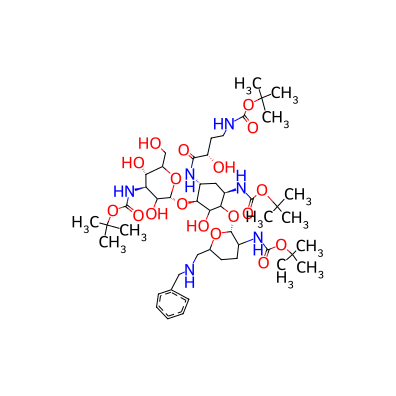 CC(C)(C)OC(=O)NCC[C@H](O)C(=O)N[C@@H]1C[C@@H](NC(=O)OC(C)(C)C)C(O[C@H]2OC(CNCc3ccccc3)CCC2NC(=O)OC(C)(C)C)C(O)[C@H]1O[C@H]1OC(CO)[C@@H](O)[C@H](NC(=O)OC(C)(C)C)C1O